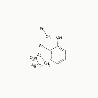 CC(C)=O.CCO.O=[N+]([O-])[O-].Oc1ccccc1Br.[Ag+]